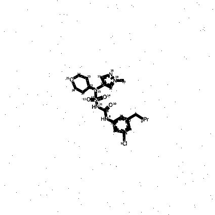 CC(C)Cc1cc(Cl)cc(NC(=O)NS(=O)(=O)N(c2cnn(C)c2)C2CCOCC2)c1